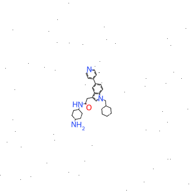 NC1CCC(NC(=O)Cc2cn(CC3CCCCC3)c3ccc(-c4ccncc4)cc23)CC1